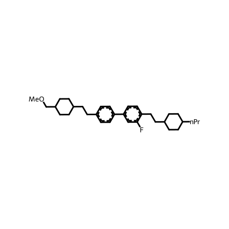 CCCC1CCC(CCc2ccc(-c3ccc(CCC4CCC(COC)CC4)cc3)cc2F)CC1